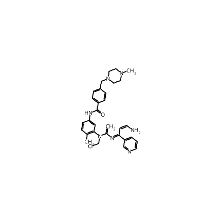 C=C(/N=C(\C=C/N)c1cccnc1)N(CCl)c1cc(NC(=O)c2ccc(CN3CCN(C)CC3)cc2)ccc1C